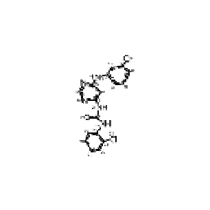 O=C(Nc1cc(Nc2cccc(Cl)c2)ncn1)Nc1ccccc1Cl